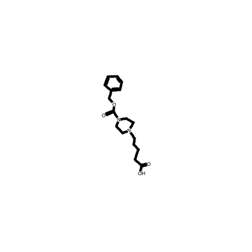 O=C(O)CCCCN1CCN(C(=O)OCc2ccccc2)CC1